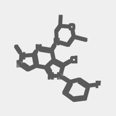 CC1CN(c2nc3c(cnn3C)c3nn(-c4cccc(F)c4)c(Cl)c23)CC(C)O1